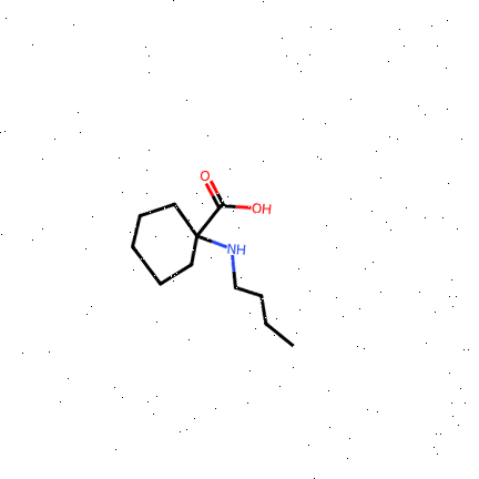 CCCCNC1(C(=O)O)CCCCC1